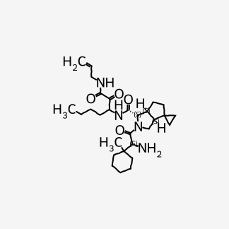 C=CCNC(=O)C(=O)C(CCCC)NC(=O)[C@@H]1[C@H]2CCC3(CC3)[C@H]2CN1C(=O)[C@@H](N)C1(C)CCCCC1